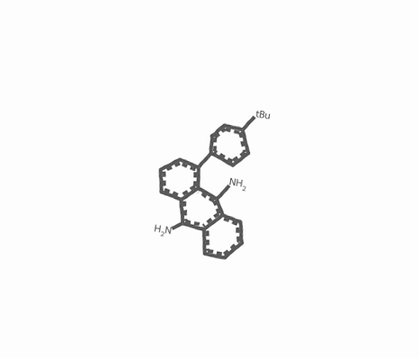 CC(C)(C)c1ccc(-c2cccc3c(N)c4ccccc4c(N)c23)cc1